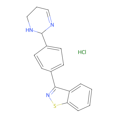 C1=NC(c2ccc(-c3nsc4ccccc34)cc2)NCC1.Cl